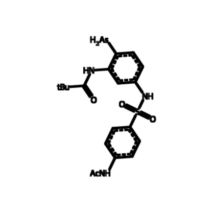 CC(=O)Nc1ccc(S(=O)(=O)Nc2ccc([AsH2])c(NC(=O)C(C)(C)C)c2)cc1